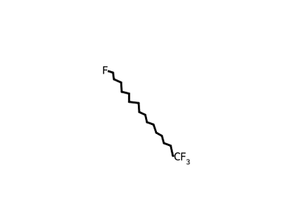 FCCCCCCCCCCCCCCCCC(F)(F)F